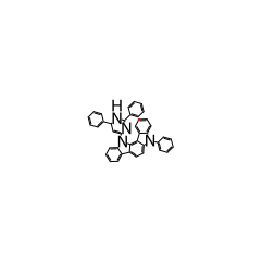 C1=C(n2c3ccccc3c3ccc4c(c5ccccc5n4-c4ccccc4)c32)N=C(c2ccccc2)NC1c1ccccc1